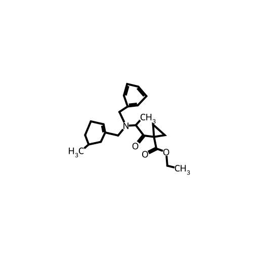 CCOC(=O)C1(C(=O)C(C)N(CC2=CCCC(C)C2)Cc2ccccc2)CC1